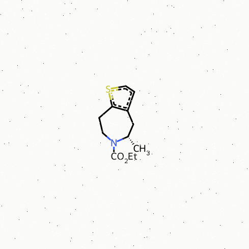 CCOC(=O)N1CCc2sccc2C[C@@H]1C